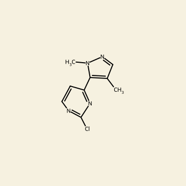 Cc1cnn(C)c1-c1ccnc(Cl)n1